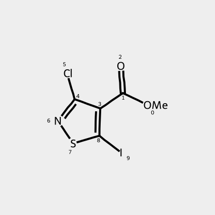 COC(=O)c1c(Cl)nsc1I